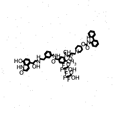 Cc1ccc(C(=O)Nc2cccc(CCNCC(O)c3ccc(O)c4[nH]c(=O)ccc34)c2)cc1N(C)C(=O)CCN1CCC(OC(=O)Nc2ccccc2-c2ccccc2)CC1.O=C(O)C(F)(F)F.O=C(O)C(F)(F)F